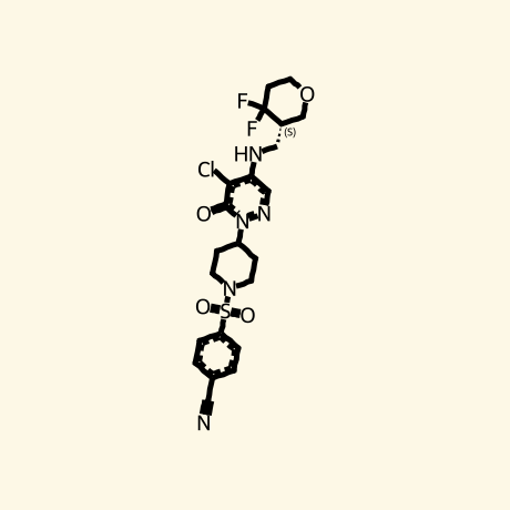 N#Cc1ccc(S(=O)(=O)N2CCC(n3ncc(NC[C@H]4COCCC4(F)F)c(Cl)c3=O)CC2)cc1